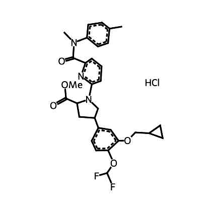 COC(=O)C1CC(c2ccc(OC(F)F)c(OCC3CC3)c2)CN1c1cccc(C(=O)N(C)c2ccc(C)cc2)n1.Cl